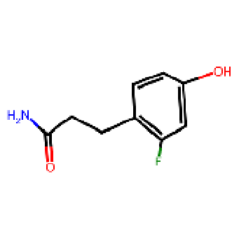 NC(=O)CCc1ccc(O)cc1F